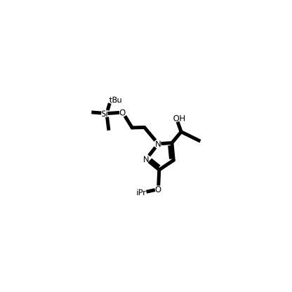 CC(C)Oc1cc(C(C)O)n(CCO[Si](C)(C)C(C)(C)C)n1